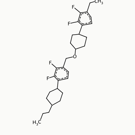 CCCC1CCC(c2ccc(COC3CCC(c4ccc(CC)c(F)c4F)CC3)c(F)c2F)CC1